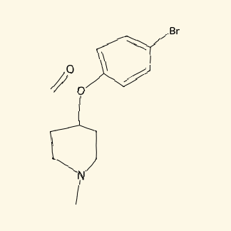 C=O.CN1CCC(Oc2ccc(Br)cc2)CC1